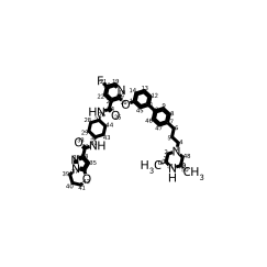 C[C@@H]1CN(CCCc2ccc(-c3cccc(Oc4ncc(F)cc4C(=O)N[C@H]4CC[C@@H](NC(=O)c5cc6n(n5)CCCO6)CC4)c3)cc2)C[C@H](C)N1